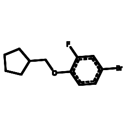 Fc1cc(Br)ccc1OCC1CCCC1